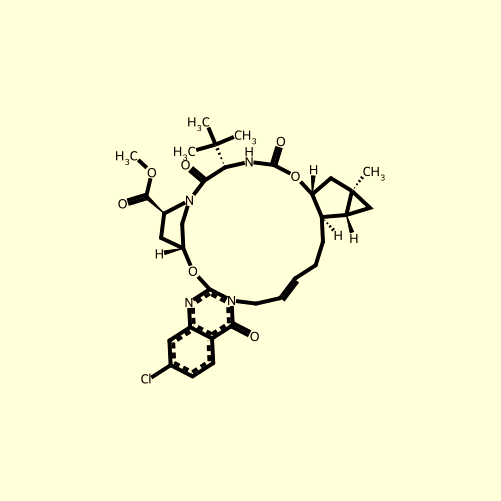 COC(=O)[C@@H]1C[C@@H]2CN1C(=O)[C@H](C(C)(C)C)NC(=O)O[C@@H]1C[C@@]3(C)C[C@@H]3[C@H]1CC/C=C/Cn1c(nc3cc(Cl)ccc3c1=O)O2